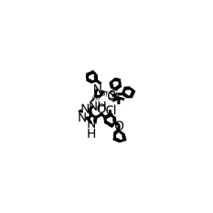 CC(C)(C)[Si](OC[C@@H]1C[C@@H](CNc2ncnc3[nH]cc(C(=O)c4ccc(Oc5ccccc5)cc4Cl)c23)CN1Cc1ccccc1)(c1ccccc1)c1ccccc1